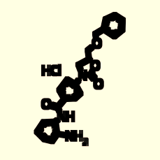 Cl.Nc1ccccc1NC(=O)c1ccc(N2CC(COCc3ccccc3)OC2=O)cc1